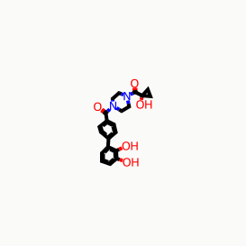 O=C(c1ccc(-c2cccc(O)c2O)cc1)N1CCN(C(=O)C2(O)CC2)CC1